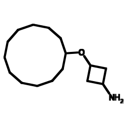 NC1CC(OC2CCCCCCCCCCC2)C1